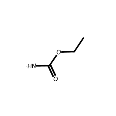 CCOC([NH])=O